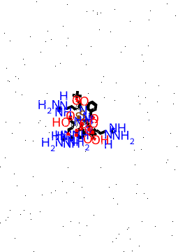 CC(C)(C)OC(=O)[C@H](CCCNC(=N)N)Nc1ccccc1C(=O)N(SSN(C(=O)c1ccccc1N[C@@H](CCCNC(=N)N)C(=O)O)[C@@H](CCCNC(=N)N)C(=O)O)[C@@H](CCCNC(=N)N)C(=O)OC(C)(C)C